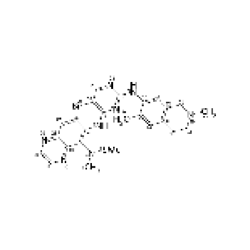 CSN(C)c1c(Nc2nc(Nc3cc4c(cc3C)CCN(C)C4)ncc2Br)ccc2nccnc12